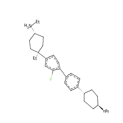 CCC[C@H]1CC[C@H](c2ccc(-c3ccc([C@]4(CC)CC[C@@H]([SiH2]CC)CC4)cc3F)cc2)CC1